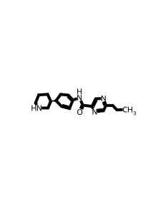 CCCc1cnc(C(=O)NC2=CCC([C@@H]3CCCNC3)C=C2)cn1